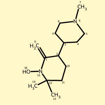 C=C1C(C2CCN(C)CC2)CCC(C)(C)N1O